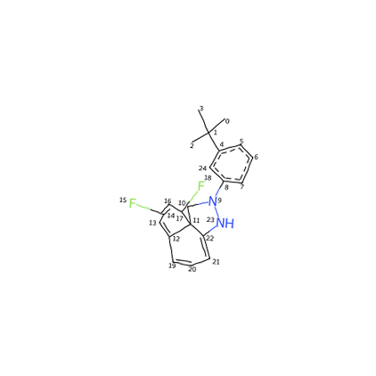 CC(C)(C)c1cccc(N2CC34C(=CC(F)=CC3F)C=CC=C4N2)c1